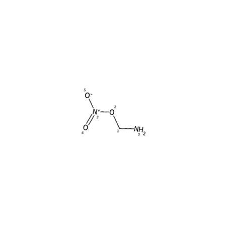 NCO[N+](=O)[O-]